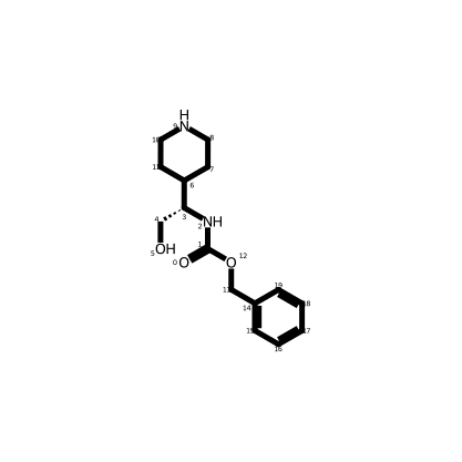 O=C(N[C@H](CO)C1CCNCC1)OCc1ccccc1